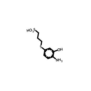 Nc1ccc(SCCCS(=O)(=O)O)cc1O